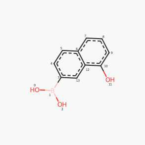 OB(O)c1ccc2cccc(O)c2c1